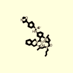 CCCCN(CCCC)C(=O)c1cc(C)n(-c2ccc(N[S+]([O-])c3ccc(-c4cnco4)cc3)cc2C(=O)N2Cc3ccccc3C[C@H]2CO)n1